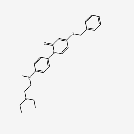 CCN(CC)CCN(C)c1ccc(-n2ccc(OCc3ccccc3)cc2=O)cc1